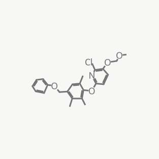 COCOc1ccc(Oc2c(C)cc(COc3ccccc3)c(C)c2C)nc1Cl